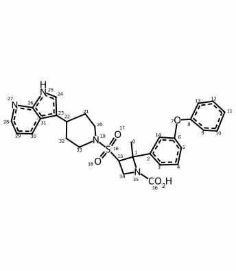 CC1(c2cccc(Oc3ccccc3)c2)C(S(=O)(=O)N2CCC(c3c[nH]c4ncccc34)CC2)CN1C(=O)O